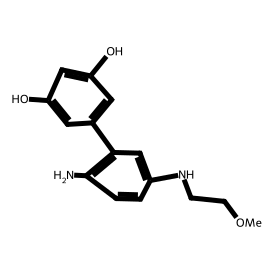 COCCNc1ccc(N)c(-c2cc(O)cc(O)c2)c1